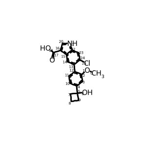 COc1cc(C2(O)CCC2)ccc1-c1cc2c(C(=O)O)c[nH]c2cc1Cl